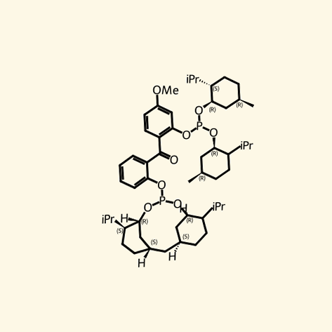 COc1ccc(C(=O)c2ccccc2OP2O[C@@H]3C[C@@H](CCC3C(C)C)C[C@@H]3CC[C@@H](C(C)C)[C@@H](C3)O2)c(OP(O[C@@H]2C[C@H](C)CCC2C(C)C)O[C@@H]2C[C@H](C)CC[C@H]2C(C)C)c1